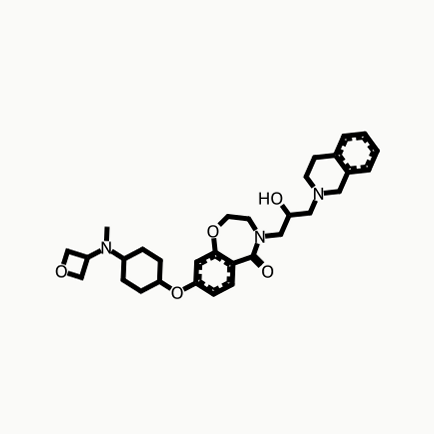 CN(C1CCC(Oc2ccc3c(c2)OCCN(CC(O)CN2CCc4ccccc4C2)C3=O)CC1)C1COC1